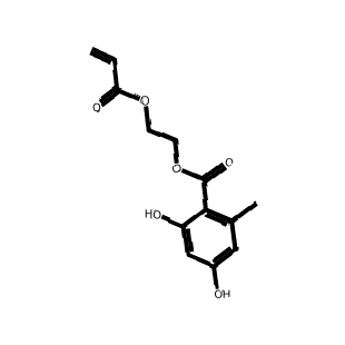 C=CC(=O)OCCOC(=O)c1c(C)cc(O)cc1O